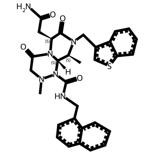 C[C@H]1[C@H]2N(C(=O)CN(C)N2C(=O)NCc2cccc3ccccc23)[C@@H](CC(N)=O)C(=O)N1Cc1csc2ccccc12